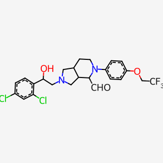 O=CC1C2CN(CC(O)c3ccc(Cl)cc3Cl)CC2CCN1c1ccc(OCC(F)(F)F)cc1